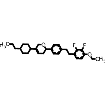 CCCC1CCC(C2=CCC(c3ccc(CCc4ccc(OCC)c(F)c4F)cc3)OC2)CC1